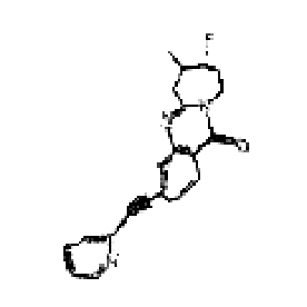 CC1Cc2nc3cc(C#Cc4ccccn4)ccc3c(=O)n2CC[C@H]1F